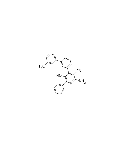 N#Cc1c(N)nc(-c2ccccc2)c(C#N)c1-c1cccc(-c2cccc(C(F)(F)F)c2)c1